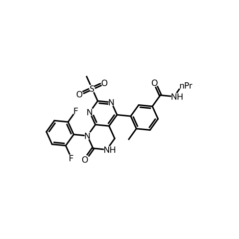 CCCNC(=O)c1ccc(C)c(-c2nc(S(C)(=O)=O)nc3c2CNC(=O)N3c2c(F)cccc2F)c1